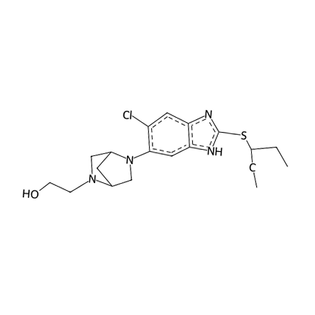 CCC(CC)Sc1nc2cc(Cl)c(N3CC4CC3CN4CCO)cc2[nH]1